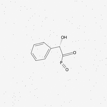 O=PC(=O)[C@@H](O)c1ccccc1